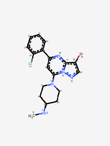 CNC1CCN(c2cc(-c3ccccc3Cl)nc3c(Br)cnn23)CC1